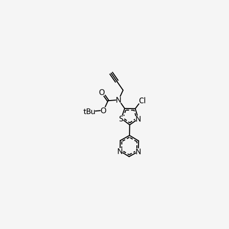 C#CCN(C(=O)OC(C)(C)C)c1sc(-c2cncnc2)nc1Cl